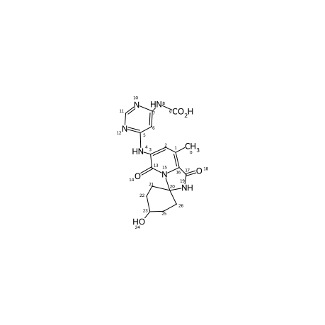 Cc1cc(Nc2cc(NC(=O)O)ncn2)c(=O)n2c1C(=O)NC21CCC(O)CC1